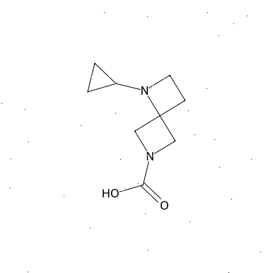 O=C(O)N1CC2(CCN2C2CC2)C1